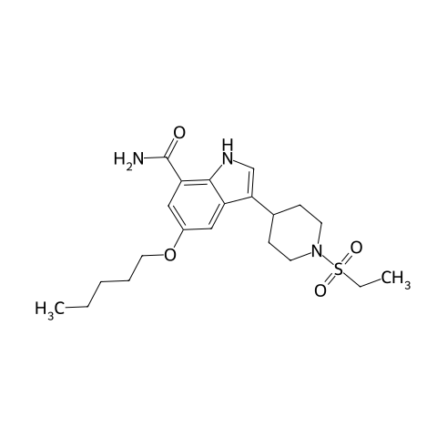 CCCCCOc1cc(C(N)=O)c2[nH]cc(C3CCN(S(=O)(=O)CC)CC3)c2c1